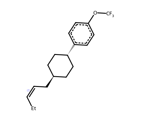 CC/C=C\C[C@H]1CC[C@H](c2ccc(OC(F)(F)F)cc2)CC1